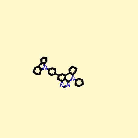 c1ccc(N2c3ccccc3-c3cc(-c4ccc(-n5c6ccccc6c6ccccc65)cc4)cc4ncnc2c34)cc1